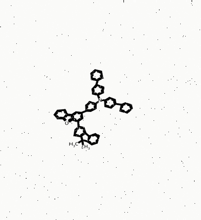 CC1(C)c2ccccc2-c2cc(-c3cc(-c4ccc(N(c5ccc(-c6ccccc6)cc5)c5ccc(-c6ccccc6)cc5)cc4)cc4c3oc3ccccc34)ccc21